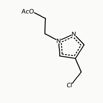 CC(=O)OCCn1cc(CCl)cn1